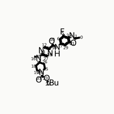 Cc1nc2c(F)cc(NC(=O)c3cnc(N(C)C4CCN(C(=O)OC(C)(C)C)CC4)cn3)cc2o1